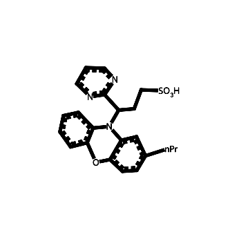 CCCc1ccc2c(c1)N(C(CCS(=O)(=O)O)c1ncccn1)c1ccccc1O2